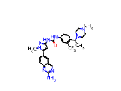 CC(c1ccc(NC(=O)Nc2cc(-c3ccc4nc(N)ncc4c3)n(C)n2)cc1C(F)(F)F)N1CCN(C)CC1